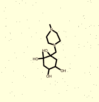 CN1CCN(CC2(O)CC(O)C(O)CC2(C)O)CC1